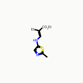 CCOC(=O)/C(=C/Nc1cnc(C)s1)CC